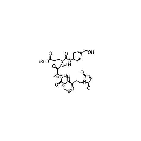 CC(C)COC(=O)CC[C@H](NC(=O)[C@H](C)NC(=O)[C@@H](CC(C)C)NC(=O)CCN1C(=O)C=CC1=O)C(=O)Nc1ccc(CO)cc1